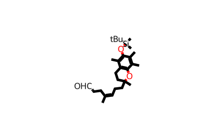 CC(=CCCC1(C)CCc2c(C)c(O[Si](C)(C)C(C)(C)C)c(C)c(C)c2O1)CCC=O